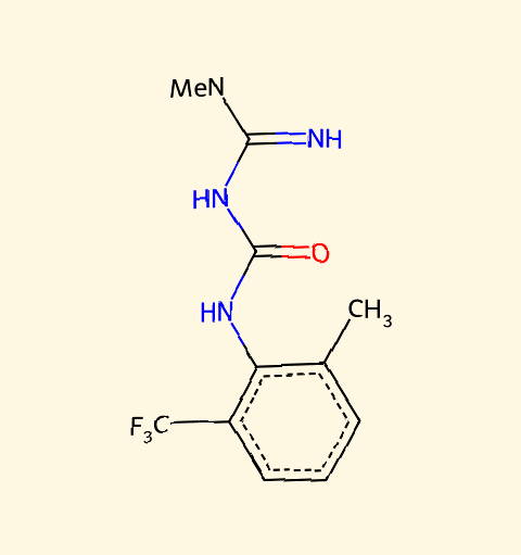 CNC(=N)NC(=O)Nc1c(C)cccc1C(F)(F)F